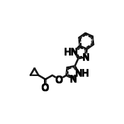 O=C(COc1cc(-c2nc3ccccc3[nH]2)[nH]n1)C1CC1